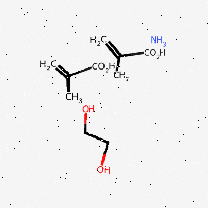 C=C(C)C(=O)O.C=C(C)C(=O)O.N.OCCO